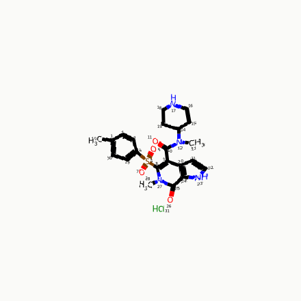 Cc1ccc(S(=O)(=O)c2c(C(=O)N(C)C3CCNCC3)c3cc[nH]c3c(=O)n2C)cc1.Cl